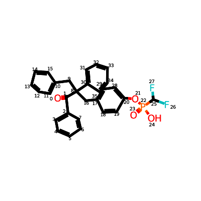 O=C(c1ccccc1)C(Cc1ccccc1)(Cc1ccc(OP(=O)(O)C(F)F)cc1)c1ccccc1